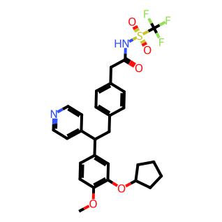 COc1ccc(C(Cc2ccc(CC(=O)NS(=O)(=O)C(F)(F)F)cc2)c2ccncc2)cc1OC1CCCC1